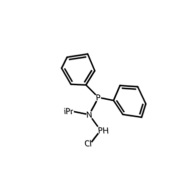 CC(C)N(PCl)P(c1ccccc1)c1ccccc1